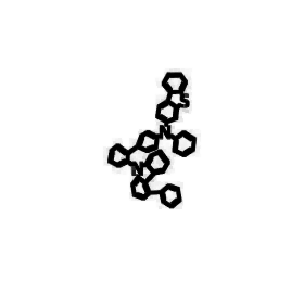 c1ccc(-c2cccc3c2c2ccccc2n3-c2ccccc2-c2ccc(N(c3ccccc3)c3ccc4c(c3)sc3ccccc34)cc2)cc1